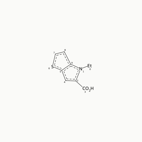 CCn1c(C(=O)O)cc2sccc21